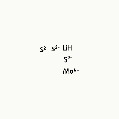 [LiH].[Mo+6].[S-2].[S-2].[S-2]